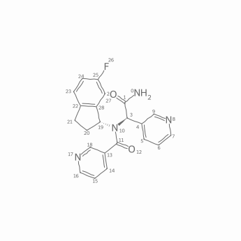 NC(=O)[C@@H](c1cccnc1)N(C(=O)c1cccnc1)[C@@H]1CCc2ccc(F)cc21